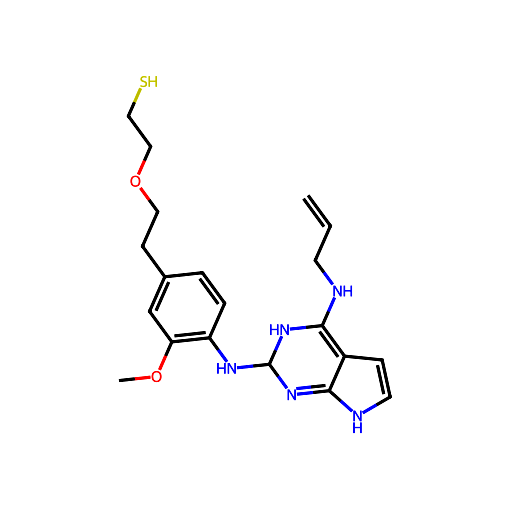 C=CCNC1=c2cc[nH]c2=NC(Nc2ccc(CCOCCS)cc2OC)N1